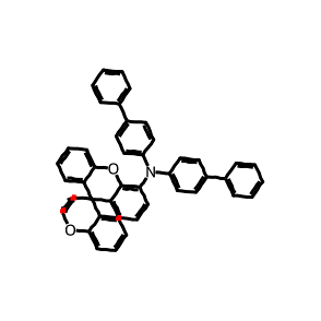 c1ccc(-c2ccc(N(c3ccc(-c4ccccc4)cc3)c3cccc4c3Oc3ccccc3C43c4ccccc4Oc4ccccc43)cc2)cc1